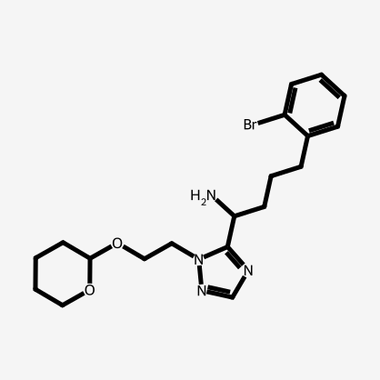 NC(CCCc1ccccc1Br)c1ncnn1CCOC1CCCCO1